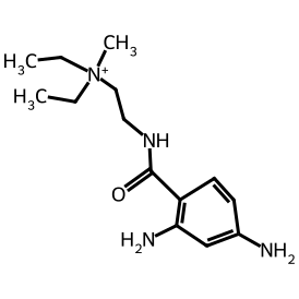 CC[N+](C)(CC)CCNC(=O)c1ccc(N)cc1N